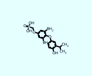 Bc1cc(OCP(=O)(O)O)cc(B)c1Oc1ccc(O)c(C(C)C)c1